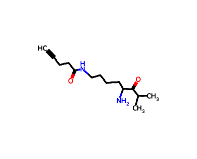 C#CCCC(=O)NCCCCC(N)C(=O)C(C)C